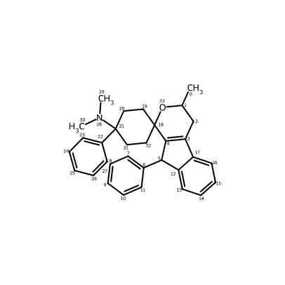 CC1CC2=C(C(c3ccccc3)c3ccccc32)C2(CCC(c3ccccc3)(N(C)C)CC2)O1